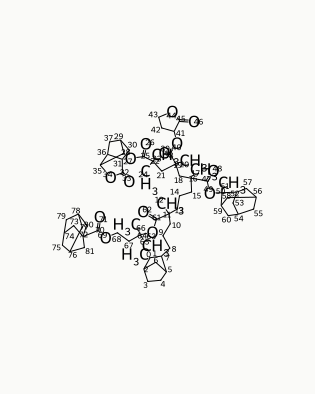 CC1C2CCC(C2)C1CCCC(C)(CCCC(C)(CC(C)(CC(C)(C)C(=O)OC1C2CC3C(=O)OC1C3C2)C(=O)OC1CCOC1=O)C(=O)OC1(C)C2CC3CC(C2)CC1C3)C(=O)OC(C)(C)CCOC(=O)C12CC3CC(CC(C3)C1)C2